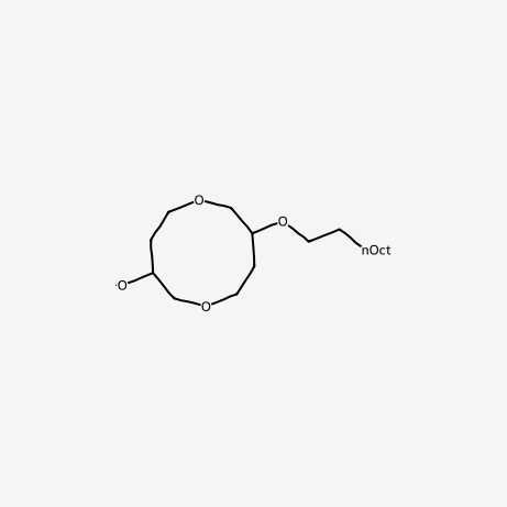 [CH2]CCCCCCCCCOC1CCOCC([O])CCOC1